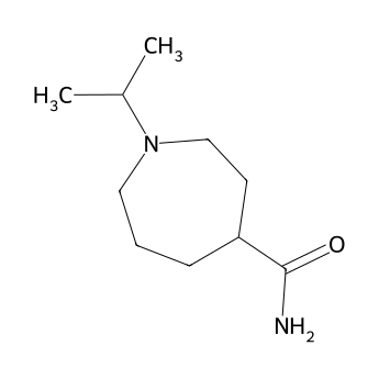 CC(C)N1CCCC(C(N)=O)CC1